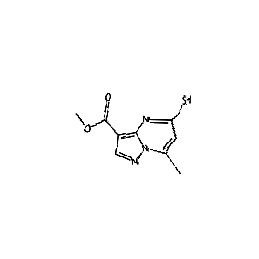 COC(=O)c1cnn2c(C)cc(S)nc12